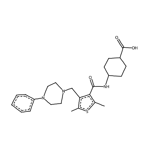 Cc1sc(C)c(C(=O)NC2CCC(C(=O)O)CC2)c1CN1CCN(c2ccccc2)CC1